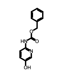 O=C(Nc1ccc(O)cn1)OCc1ccccc1